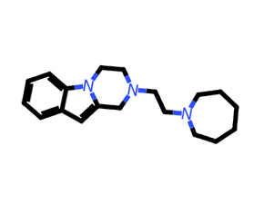 c1ccc2c(c1)cc1n2CCN(CCN2CCCCCC2)C1